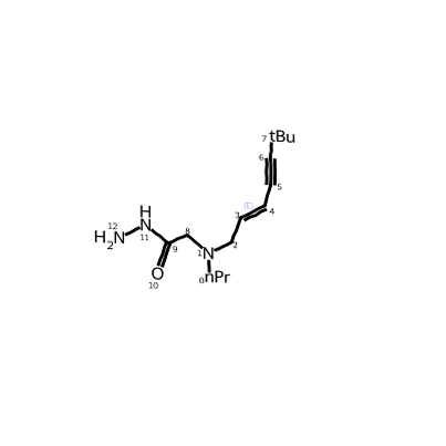 CCCN(C/C=C/C#CC(C)(C)C)CC(=O)NN